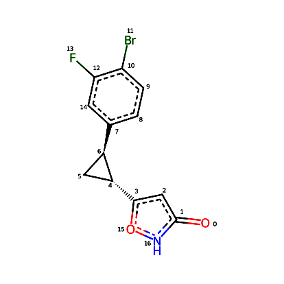 O=c1cc([C@@H]2C[C@H]2c2ccc(Br)c(F)c2)o[nH]1